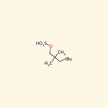 CC(C)(C)CC(C)(C)COS(=O)(=O)O